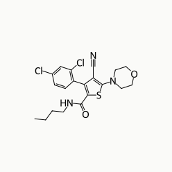 CCCCNC(=O)c1sc(N2CCOCC2)c(C#N)c1-c1ccc(Cl)cc1Cl